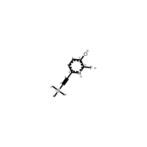 C[Si](C)(C)C#Cc1ccc(Cl)c(F)n1